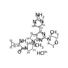 C[C@H]1COCCN1c1nc(-c2cnc(N)nc2)c2c(n1)N([C@@]1(C)CCN(C(=O)[C@H](N)C3CC3)C1)CC2.Cl